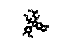 COCC(C)(C)c1c([C@H](F)CC(=O)O)c2cc3[nH]ncc3cc2n1-c1ccc(F)c(OC)c1